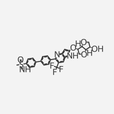 CS(=N)(=O)c1ccc(-c2ccc(-c3nc4cc(O[C@@H]5CO[C@H]6[C@@H]5OC[C@H]6O)[nH]c4cc3C(F)(F)F)cc2)cc1